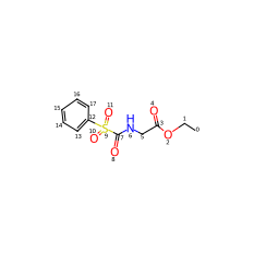 CCOC(=O)CNC(=O)S(=O)(=O)c1ccccc1